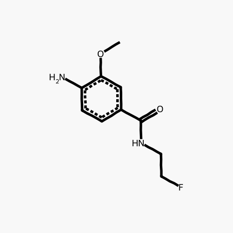 COc1cc(C(=O)NCCF)ccc1N